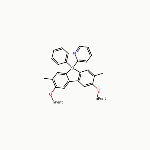 CCCCCOc1cc2c(cc1C)[Si](c1ccccc1)(c1ccccn1)c1cc(C)c(OCCCCC)cc1-2